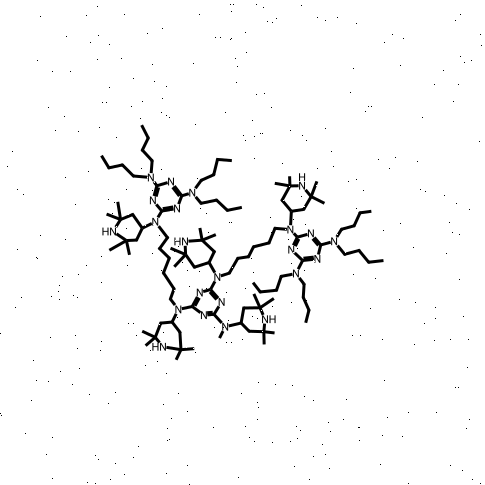 CCCCN(CCCC)c1nc(N(CCCC)CCCC)nc(N(CCCCCCN(c2nc(N(C)C3CC(C)(C)NC(C)(C)C3)nc(N(CCCCCCN(c3nc(N(CCCC)CCCC)nc(N(CCCC)CCCC)n3)C3CC(C)(C)NC(C)(C)C3)C3CC(C)(C)NC(C)(C)C3)n2)C2CC(C)(C)NC(C)(C)C2)C2CC(C)(C)NC(C)(C)C2)n1